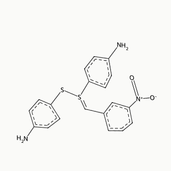 Nc1ccc(SS(=Cc2cccc([N+](=O)[O-])c2)c2ccc(N)cc2)cc1